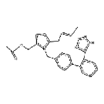 CC=CCc1ccc(COC(C)=O)n1Cc1ccc(-c2ccccc2-c2nnn[nH]2)cc1